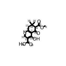 COC(=O)C1C(=O)c2c(ncc(C(=O)O)c2O)CC1(C)C